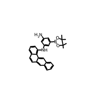 CC1(C)OB(c2cc(N)cc(Nc3cccc4ccc5cc6ccccc6cc5c34)c2)OC1(C)C